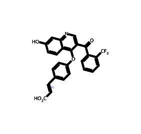 O=C(O)/C=C/c1ccc(Oc2c(C(=O)c3ccccc3C(F)(F)F)cnc3cc(O)ccc23)cc1